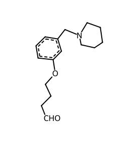 O=CCCCOc1cccc(CN2CCCCC2)c1